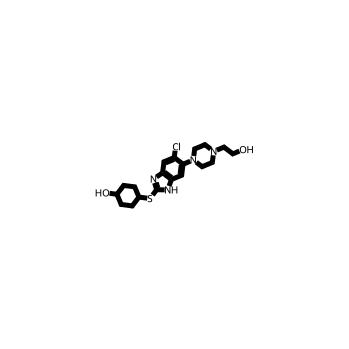 OCCN1CCN(c2cc3[nH]c(SC4CCC(O)CC4)nc3cc2Cl)CC1